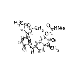 CNC(=O)COc1cc2cc(Nc3nc(N4CC(C)OC(C)C4)ncc3Cl)ccc2n(C)c1=O